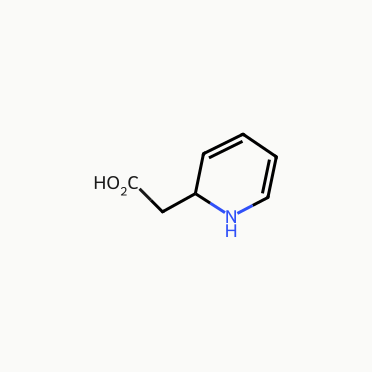 O=C(O)CC1C=CC=CN1